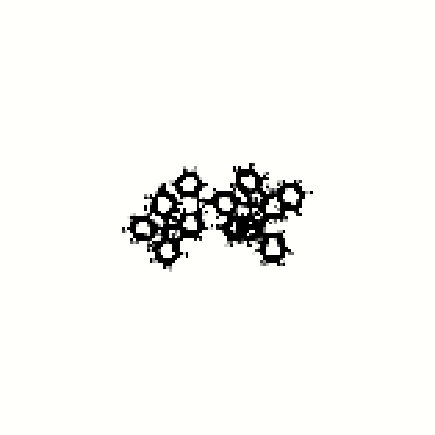 c1ccc(N(c2ccc3c(c2)-c2ccccc2C32c3ccccc3-c3c2c(N(c2ccccc2)c2ccccc2)cc2ccccc32)c2ccc3c(c2)C(c2ccccc2)(c2ccccc2)c2ccccc2-3)cc1